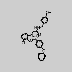 COc1ccc(CNC(=O)CN(c2cccc(Cl)c2C)S(=O)(=O)c2ccc(Oc3ccccc3)cc2)cc1